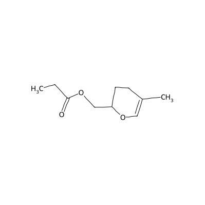 CCC(=O)OCC1CCC(C)=CO1